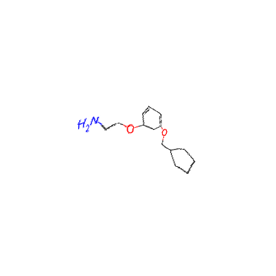 NCCOC1C=CC=C(OCC2CCCC2)C1